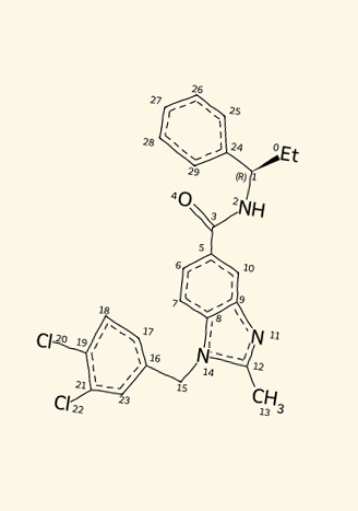 CC[C@@H](NC(=O)c1ccc2c(c1)nc(C)n2Cc1ccc(Cl)c(Cl)c1)c1ccccc1